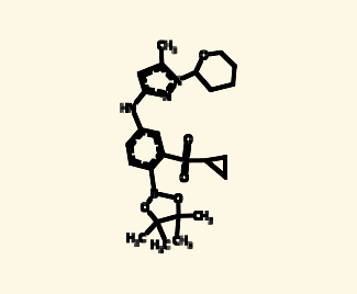 Cc1cc(Nc2ccc(B3OC(C)(C)C(C)(C)O3)c(S(=O)(=O)C3CC3)c2)nn1C1CCCCO1